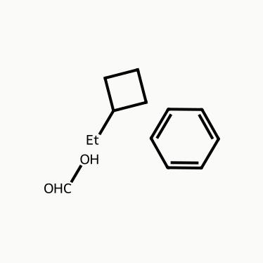 CCC1CCC1.O=CO.c1ccccc1